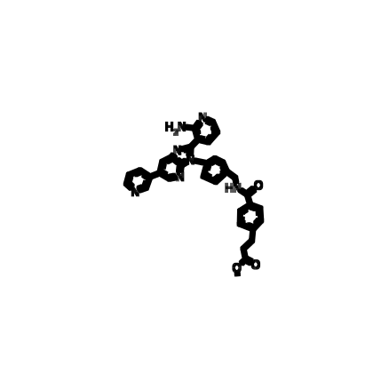 COC(=O)CCc1ccc(C(=O)NCc2ccc(-n3c(-c4cccnc4N)nc4cc(-c5cccnc5)cnc43)cc2)cc1